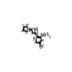 Nc1cc(Br)cnc1NCCN1CCCC1